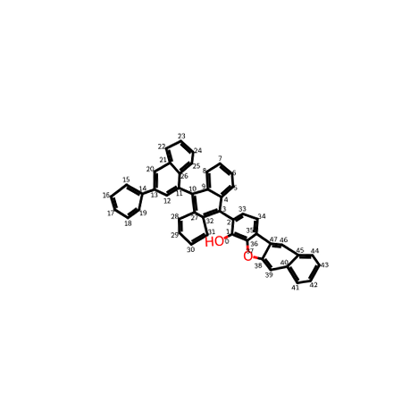 Oc1c(-c2c3ccccc3c(-c3cc(-c4ccccc4)cc4ccccc34)c3ccccc23)ccc2c1oc1cc3ccccc3cc12